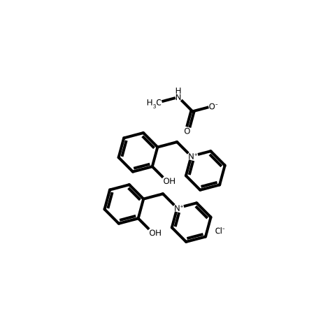 CNC(=O)[O-].Oc1ccccc1C[n+]1ccccc1.Oc1ccccc1C[n+]1ccccc1.[Cl-]